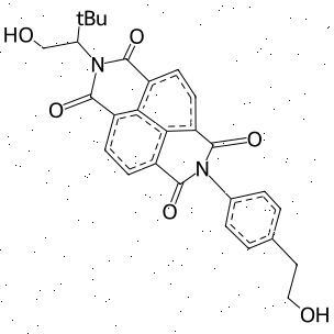 CC(C)(C)C(CO)N1C(=O)c2ccc3c4c(ccc(c24)C1=O)C(=O)N(c1ccc(CCO)cc1)C3=O